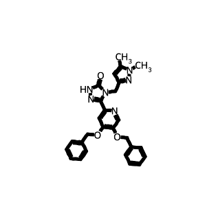 Cc1cc(Cn2c(-c3cc(OCc4ccccc4)c(OCc4ccccc4)cn3)n[nH]c2=O)nn1C